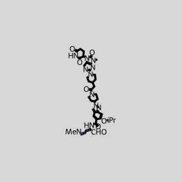 CN/C=C\C=C(/C=O)NC(=O)c1cc2cn(C3CCN(C(=O)CC4CCN(c5ncc6c(n5)n(C)c(=O)n6C5CCC(=O)NC5=O)CC4)CC3)nc2cc1OC(C)C